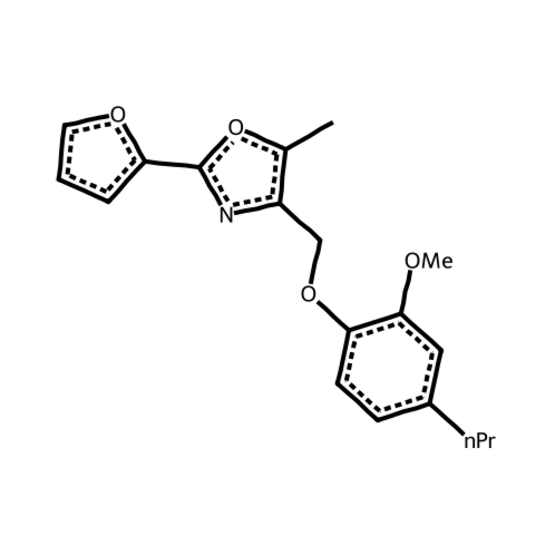 [CH2]CCc1ccc(OCc2nc(-c3ccco3)oc2C)c(OC)c1